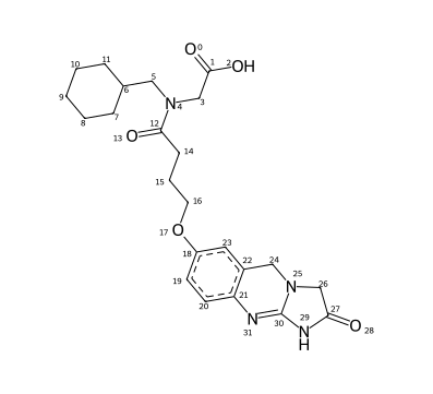 O=C(O)CN(CC1CCCCC1)C(=O)CCCOc1ccc2c(c1)CN1CC(=O)NC1=N2